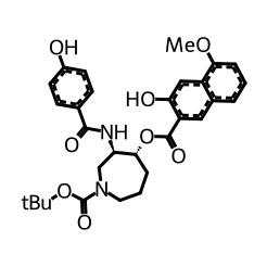 COc1cccc2cc(C(=O)O[C@@H]3CCCN(C(=O)OC(C)(C)C)C[C@H]3NC(=O)c3ccc(O)cc3)c(O)cc12